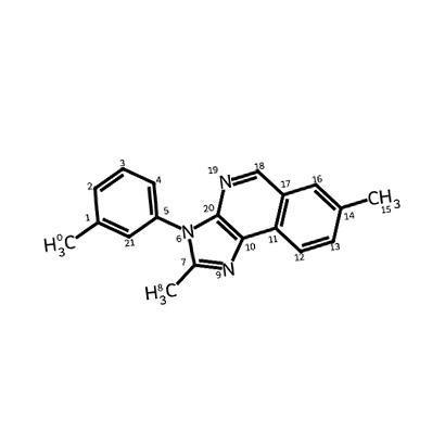 Cc1cccc(-n2c(C)nc3c4ccc(C)cc4cnc32)c1